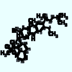 CCc1cc(Nc2ncc(Br)c(Nc3ccc4nccnc4c3N(C)S(C)(=O)=O)n2)c(OC)cc1N(C)CCN(C)C